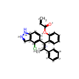 C=CC(=O)Oc1ccccc1/C(=C(/CC)c1ccccc1)c1ccc2[nH]ncc2c1Cl